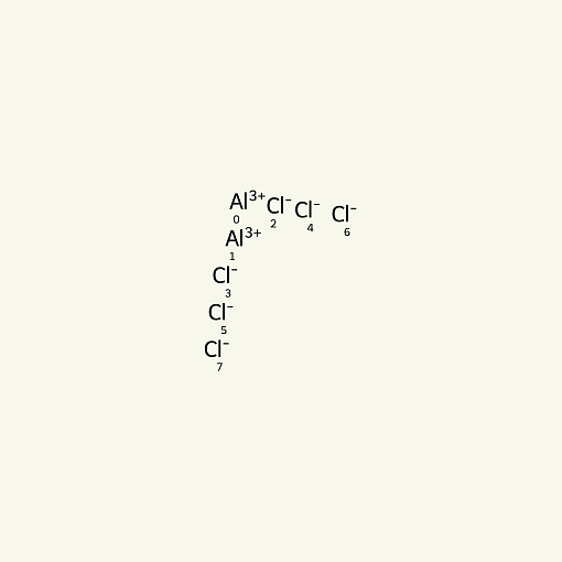 [Al+3].[Al+3].[Cl-].[Cl-].[Cl-].[Cl-].[Cl-].[Cl-]